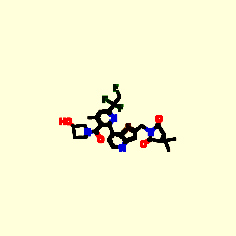 Cc1cc(C(F)(F)CF)nc(-c2ccnc3cc(CN4C(=O)C5C(C4=O)C5(C)C)sc23)c1C(=O)N1CCC(O)C1